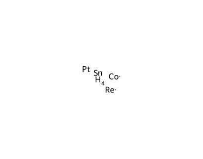 [Co].[Pt].[Re].[SnH4]